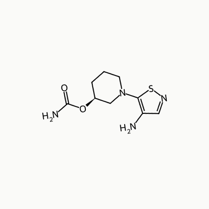 NC(=O)O[C@H]1CCCN(c2sncc2N)C1